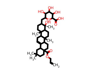 C=CCOC(=O)C12CCC3C(=CCC4C3(C)CCC3C4(C)CCC(CC4OC(C(=O)O)C(O)C(O)C4O)[C@@]3(C)O)C1CC(C)(C)CC2